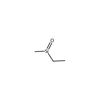 CC[Si](C)=O